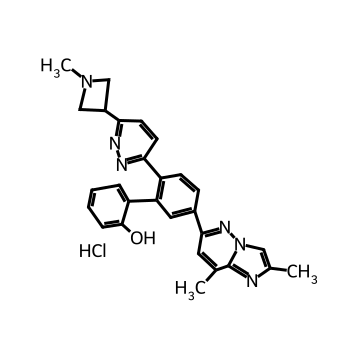 Cc1cn2nc(-c3ccc(-c4ccc(C5CN(C)C5)nn4)c(-c4ccccc4O)c3)cc(C)c2n1.Cl